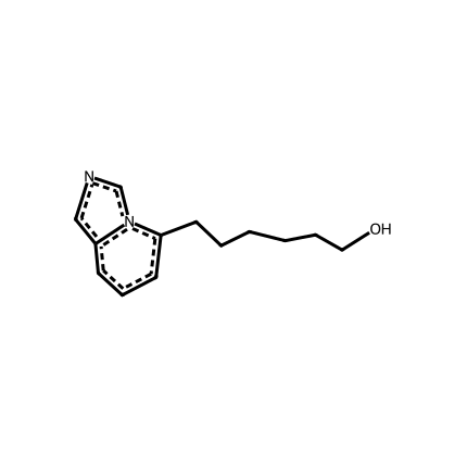 OCCCCCCc1cccc2cncn12